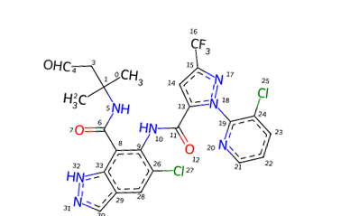 CC(C)(CC=O)NC(=O)c1c(NC(=O)c2cc(C(F)(F)F)nn2-c2ncccc2Cl)c(Cl)cc2cn[nH]c12